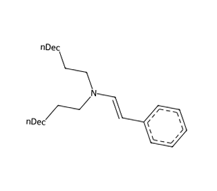 CCCCCCCCCCCCN(C=Cc1ccccc1)CCCCCCCCCCCC